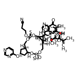 CC(C)C(=O)Nc1nc2c(ncn2[C@@H]2O[C@@H]3CO[P@](=O)(S)O[C@H]4C[C@H](Oc5ccncn5)C[C@@H]4CO[P@](=S)(OCCC#N)O[C@@H]2[C@@H]3O[Si](O[Si](O)(C(C)C)C(C)C)(C(C)C)C(C)C)c(=O)[nH]1